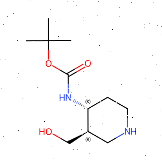 CC(C)(C)OC(=O)N[C@@H]1CCNC[C@H]1CO